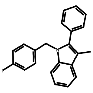 Cc1c(-c2ccccc2)n(Cc2ccc(I)cc2)c2ccccc12